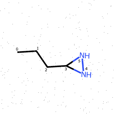 CCCC1NN1